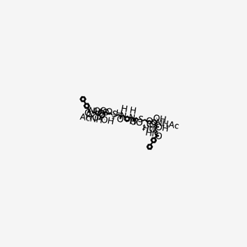 CC(=O)NC1C([C@H](O)C(O)CNC(=O)c2ccc(-c3ccccc3)cc2)O[C@@](OCCCSCCC(=O)Nc2cccc(NC(=O)CCSCCCO[C@]3(C(=O)O)C[C@H](O)[C@@H](NC(C)=O)C(C(O)[C@H](O)CNC(=O)c4ccc(-c5ccccc5)cc4)O3)c2)(C(=O)O)C[C@@H]1O